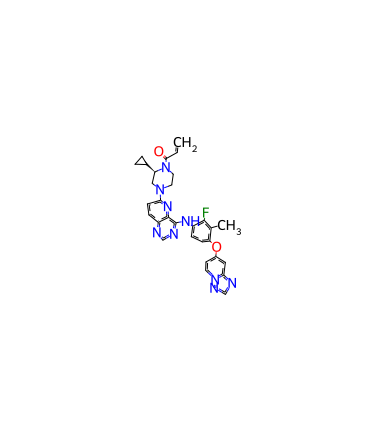 C=CC(=O)N1CCN(c2ccc3ncnc(Nc4ccc(Oc5ccn6ncnc6c5)c(C)c4F)c3n2)C[C@H]1C1CC1